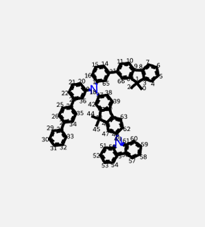 CC1(C)c2ccccc2-c2ccc(-c3cccc(N(c4cccc(-c5ccc(-c6ccccc6)cc5)c4)c4ccc5c(c4)C(C)(C)c4cc(-n6c7ccccc7c7ccccc76)ccc4-5)c3)cc21